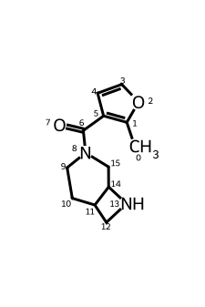 Cc1occc1C(=O)N1CCC2CNC2C1